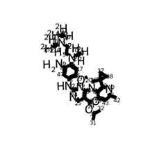 [2H]C([2H])([2H])N(CCN(C([2H])([2H])[2H])C([2H])([2H])[2H])c1cc(OC)c(Nc2ncc(C(=O)OC(C)C)c(N3CC4(CC4)c4nc(C)ccc43)n2)cc1N